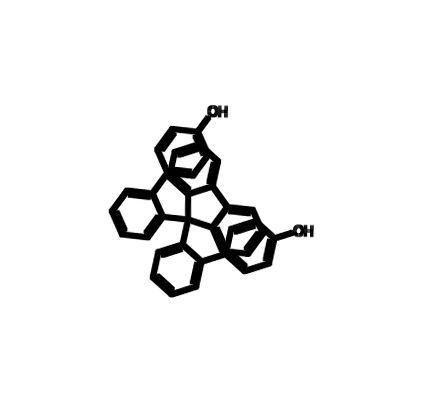 Oc1ccc(-c2ccccc2C2(c3ccccc3-c3ccc(O)cc3)c3ccccc3-c3ccccc32)cc1